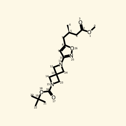 COC(=O)C[C@H](C)Cc1cc(N2CC3(CN(C(=O)OC(C)(C)C)C3)C2)no1